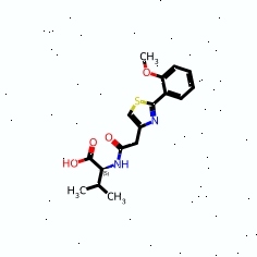 COc1ccccc1-c1nc(CC(=O)N[C@H](C(=O)O)C(C)C)cs1